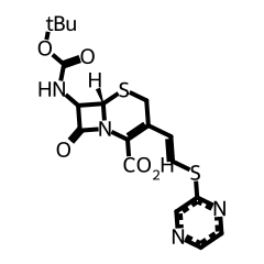 CC(C)(C)OC(=O)NC1C(=O)N2C(C(=O)O)=C(C=CSc3cnccn3)CS[C@@H]12